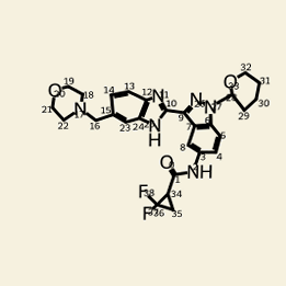 O=C(Nc1ccc2c(c1)c(-c1nc3ccc(CN4CCOCC4)cc3[nH]1)nn2C1CCCCO1)C1CC1(F)F